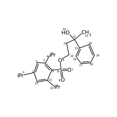 CC(C)c1cc(C(C)C)c(S(=O)(=O)OCCC(C)(O)c2ccccc2)c(C(C)C)c1